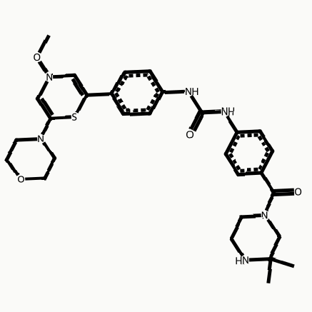 CON1C=C(c2ccc(NC(=O)Nc3ccc(C(=O)N4CCNC(C)(C)C4)cc3)cc2)SC(N2CCOCC2)=C1